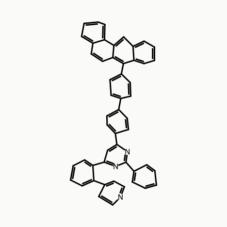 c1ccc(-c2nc(-c3ccc(-c4ccc(-c5c6ccccc6cc6c5ccc5ccccc56)cc4)cc3)cc(-c3ccccc3-c3ccncc3)n2)cc1